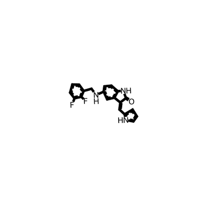 O=C1Nc2ccc(NCc3cccc(F)c3F)cc2C1=Cc1ccc[nH]1